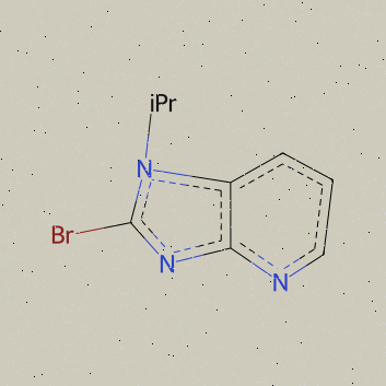 CC(C)n1c(Br)nc2ncccc21